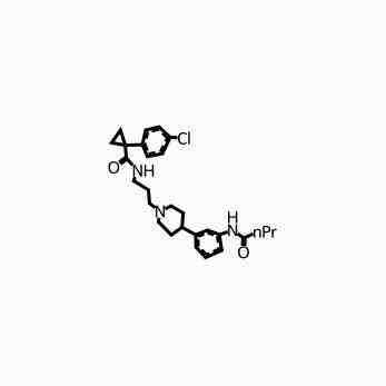 CCCC(=O)Nc1cccc(C2CCN(CCCNC(=O)C3(c4ccc(Cl)cc4)CC3)CC2)c1